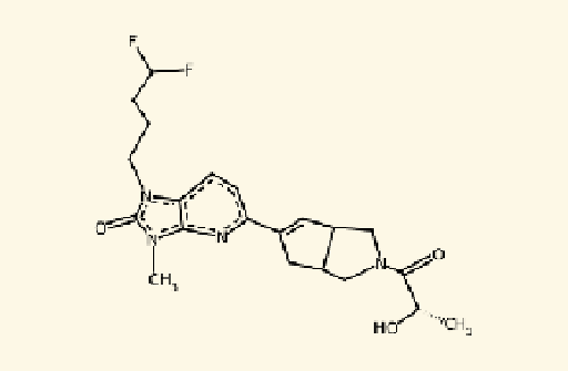 C[C@H](O)C(=O)N1CC2C=C(c3ccc4c(n3)n(C)c(=O)n4CCCC(F)F)CC2C1